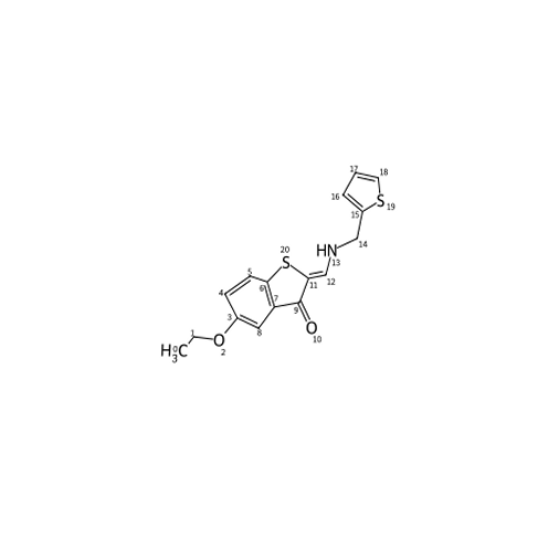 CCOc1ccc2c(c1)C(=O)C(=CNCc1cccs1)S2